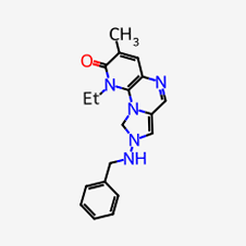 CCn1c2c(cc(C)c1=O)N=CC1=CN(NCc3ccccc3)CN12